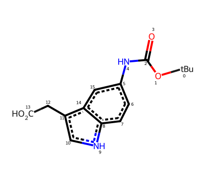 CC(C)(C)OC(=O)Nc1ccc2[nH]cc(CC(=O)O)c2c1